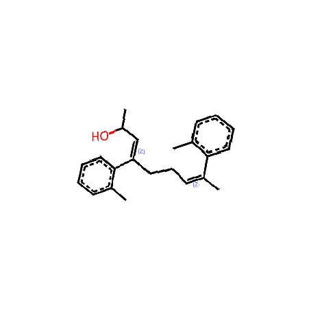 C/C(=C/CC/C(=C/C(C)O)c1ccccc1C)c1ccccc1C